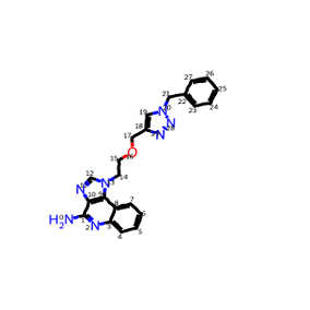 Nc1nc2ccccc2c2c1ncn2CCOCc1cn(Cc2ccccc2)nn1